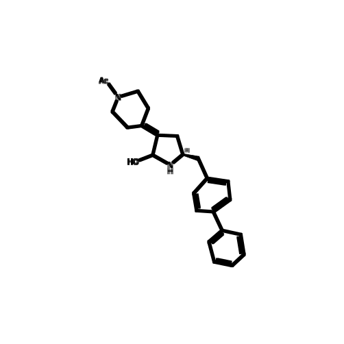 CC(=O)N1CCC(=C2C[C@@H](Cc3ccc(-c4ccccc4)cc3)NC2O)CC1